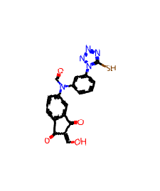 O=CN(c1cccc(-n2nnnc2S)c1)c1ccc2c(c1)C(=O)/C(=C\O)C2=O